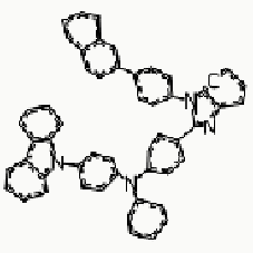 c1ccc(N(c2ccc(-c3nc4ccccc4n3-c3ccc(-c4ccc5ccccc5c4)cc3)cc2)c2ccc(-n3c4ccccc4c4ccccc43)cc2)cc1